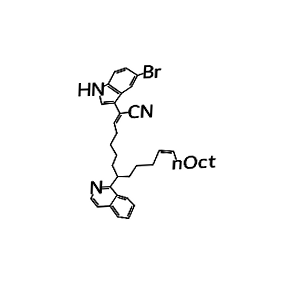 CCCCCCCC/C=C\CCCC(CCCC/C=C(\C#N)c1c[nH]c2ccc(Br)cc12)c1nccc2ccccc12